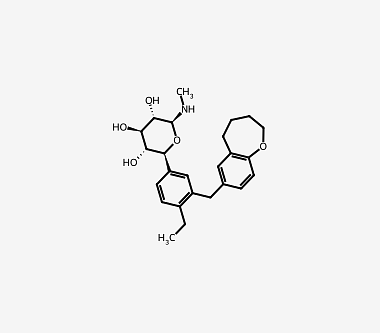 CCc1ccc([C@@H]2O[C@H](NC)[C@@H](O)[C@H](O)[C@H]2O)cc1Cc1ccc2c(c1)CCCCO2